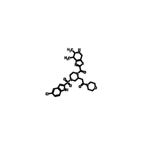 CC1NCc2sc(C(=O)N3CCN(S(=O)(=O)c4cc5cc(Cl)ccc5[nH]4)CC3CC(=O)N3CCOCC3)nc2C1C